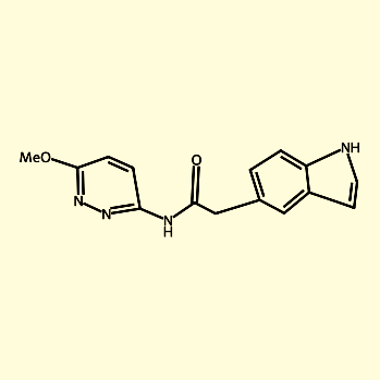 COc1ccc(NC(=O)Cc2ccc3[nH]ccc3c2)nn1